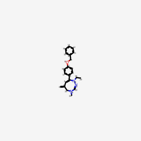 C=C1/C=C(/c2ccc(OCc3ccccc3)cc2)N(CC)/N=C\N(C)C1